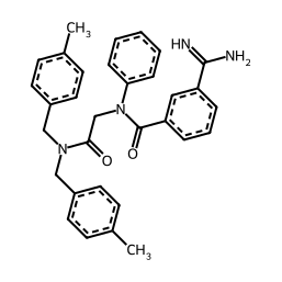 Cc1ccc(CN(Cc2ccc(C)cc2)C(=O)CN(C(=O)c2cccc(C(=N)N)c2)c2ccccc2)cc1